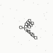 CC(=O)CC(Cl)Cl.ClCCl.ClCCl.ClCCl.ClCCl.ClCCl